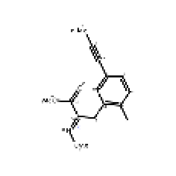 CCCCCCC#Cc1ccc(C)c(C/C(=N\OC)C(=O)OC)c1